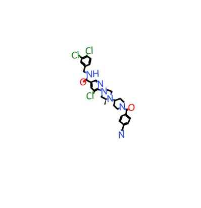 C[C@H]1CN(c2ncc(C(=O)NCc3ccc(Cl)c(Cl)c3)cc2Cl)CCN1C1CCN(C(=O)c2ccc(C#N)cc2)CC1